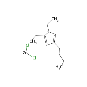 CCCCC1=C[C](CC)C(CC)=C1.[Cl][Zr][Cl]